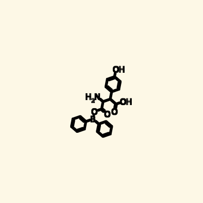 NC(C(=O)OB(c1ccccc1)c1ccccc1)C(C(=O)O)c1ccc(O)cc1